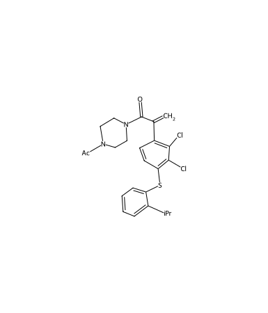 C=C(C(=O)N1CCN(C(C)=O)CC1)c1ccc(Sc2ccccc2C(C)C)c(Cl)c1Cl